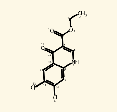 CCOC(=O)c1c[nH]c2cc(Cl)c(Cl)cc2c1=O